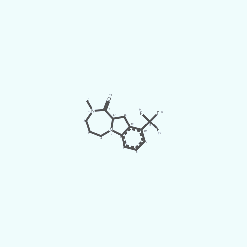 CN1CCCN2c3cccc(C(F)(F)F)c3CC2C1=O